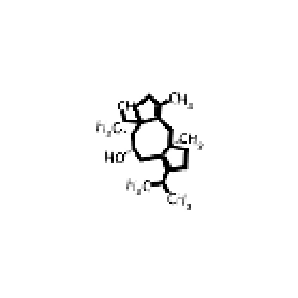 CCC12CCC(C)=C1C[C@@]1(C)CCC(C(C)C)=C1C[C@H](O)[C@@H]2C